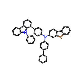 c1ccc(-c2ccc(N(c3ccc(-c4cccc5c6ccccc6n(-c6ccccc6)c45)cc3)c3ccc4c(c3)sc3ccccc34)cc2)cc1